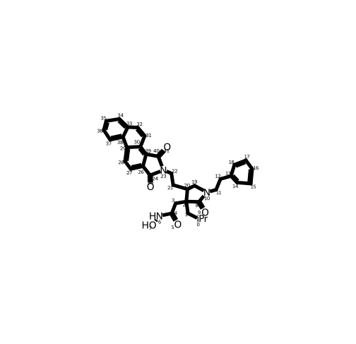 CC(C)CC1(CC(=O)NO)C(=O)N(CCc2ccccc2)CC1CCN1C(=O)c2ccc3c(ccc4ccccc43)c2C1=O